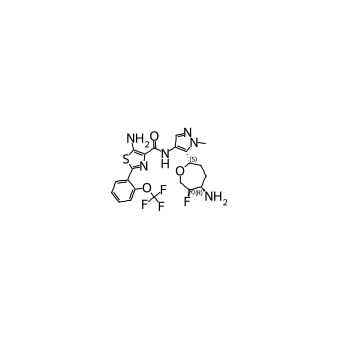 Cn1ncc(NC(=O)c2nc(-c3ccccc3OC(F)(F)F)sc2N)c1[C@@H]1CC[C@@H](N)[C@@H](F)CO1